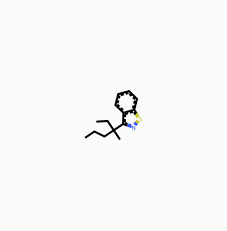 CCCC(C)(CC)c1nsc2ccccc12